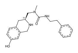 CN(C[C@@H]1Cc2ccc(O)cc2CN1)C(=O)NCCc1ccccc1